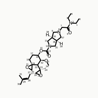 CCN(CC)C(=O)CN1C[C@@H]2CN(C(=O)O[C@@H]3CC[C@]4(CO4)C([C@@]4(C)O[C@@H]4CC=C(C)C)[C@@H]3OC)C[C@@H]2C1